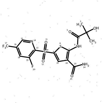 CC(C)(O)C(=O)Nc1sc(S(=O)(=O)c2ncc(C(F)(F)F)cc2F)cc1C(N)=O